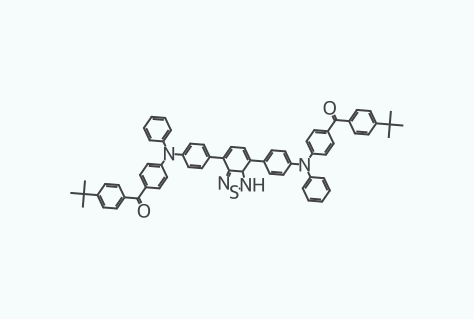 CC(C)(C)c1ccc(C(=O)c2ccc(N(c3ccccc3)c3ccc(C4=CC=C(c5ccc(N(c6ccccc6)c6ccc(C(=O)c7ccc(C(C)(C)C)cc7)cc6)cc5)C5NSN=C45)cc3)cc2)cc1